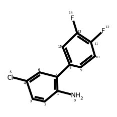 Nc1ccc(Cl)cc1-c1ccc(F)c(F)c1